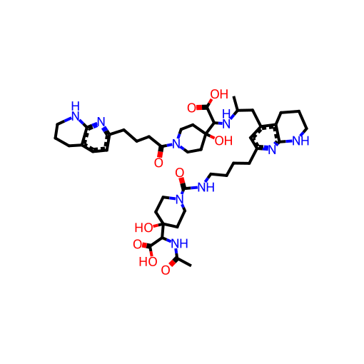 CC(=O)NC(C(=O)O)C1(O)CCN(C(=O)NCCCCc2cc(CC(C)NC(C(=O)O)C3(O)CCN(C(=O)CCCc4ccc5c(n4)NCCC5)CC3)c3c(n2)NCCC3)CC1